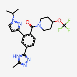 Cc1nnc(-c2ccc(C(=O)N3CCC(OC(F)(F)F)CC3)c(-c3ccn(C(C)C)n3)c2)[nH]1